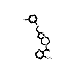 Cc1cccnc1C(=O)N1CCn2nc(COc3cccc(F)c3)cc2C1